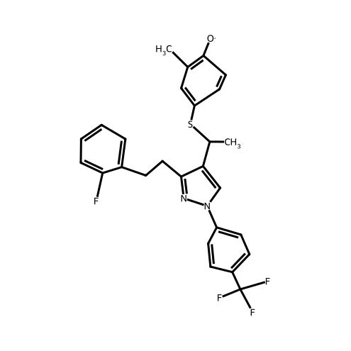 Cc1cc(SC(C)c2cn(-c3ccc(C(F)(F)F)cc3)nc2CCc2ccccc2F)ccc1[O]